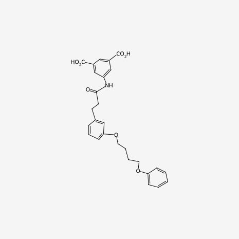 O=C(CCc1cccc(OCCCCOc2ccccc2)c1)Nc1cc(C(=O)O)cc(C(=O)O)c1